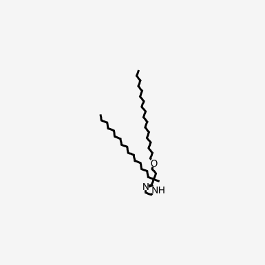 CCCCCCCCCCCCCCCCCCOCCC(C)(CCCCCCCCCCCCCCCC)C1=NCCN1